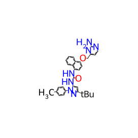 Cc1ccc(-n2nc(C(C)(C)C)cc2NC(=O)Nc2ccc(OCc3ccnc(N)n3)c3ccccc23)cc1